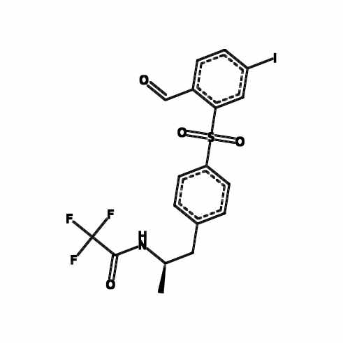 C[C@H](Cc1ccc(S(=O)(=O)c2cc(I)ccc2C=O)cc1)NC(=O)C(F)(F)F